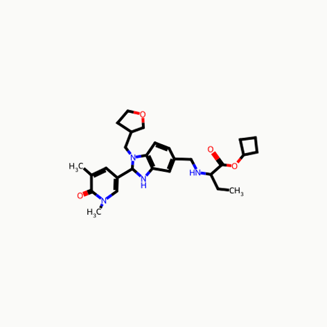 CCC(NCc1ccc2c(c1)NC(c1cc(C)c(=O)n(C)c1)N2CC1CCOC1)C(=O)OC1CCC1